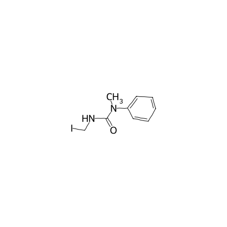 CN(C(=O)NCI)c1ccccc1